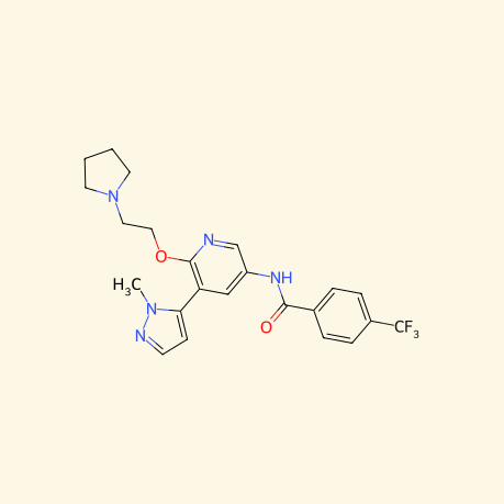 Cn1nccc1-c1cc(NC(=O)c2ccc(C(F)(F)F)cc2)cnc1OCCN1CCCC1